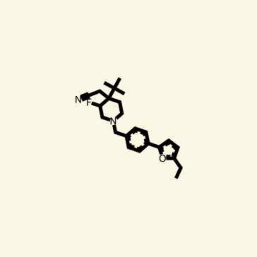 CCc1ccc(-c2ccc(CN3CCC(CC#N)(C(C)(C)C)C(F)C3)cc2)o1